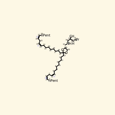 CCCCC/C=C\C/C=C\CCCCCCCCC1(CCCCCCCC/C=C\C/C=C\CCCCC)OC[C@@H](CNCC(C)NC(C)C)O1